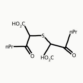 CCCC(=O)C(SC(C(=O)O)C(=O)CCC)C(=O)O